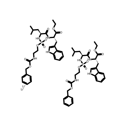 CCOC(=O)[C@H](Cc1c[nH]c2ccccc12)NC(=O)[C@H](CC(C)C)NP(=O)([O-])OCCNC(=O)OCc1ccccc1.CCOC(=O)[C@H](Cc1c[nH]c2ccccc12)NC(=O)[C@H](CC(C)C)NP(=O)([O-])OCCNC(=O)OCc1ccccc1.[Li+].[Li+]